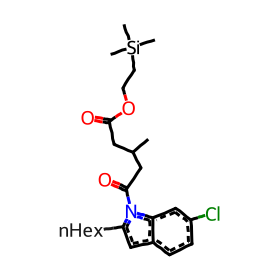 CCCCCCc1cc2ccc(Cl)cc2n1C(=O)CC(C)CC(=O)OCC[Si](C)(C)C